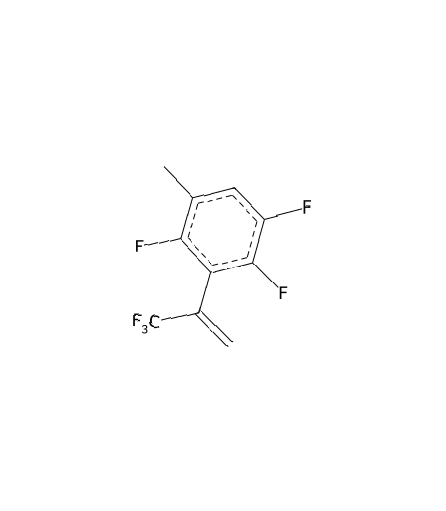 C=C(c1c(F)c(C)cc(F)c1F)C(F)(F)F